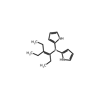 CCC(CC)=C(CC)P(c1ccc[nH]1)c1ccc[nH]1